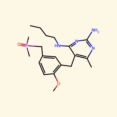 CCCCNc1nc(N)nc(C)c1Cc1cc(CP(C)(C)=O)ccc1OC